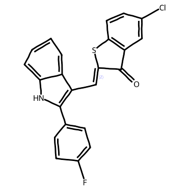 O=C1/C(=C/c2c(-c3ccc(F)cc3)[nH]c3ccccc23)Sc2ccc(Cl)cc21